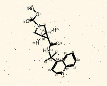 CC(C)(C)OC(=O)N1C[C@@H]2C(C(=O)NC(C)(C)c3ccnc4ccccc34)[C@@H]2C1